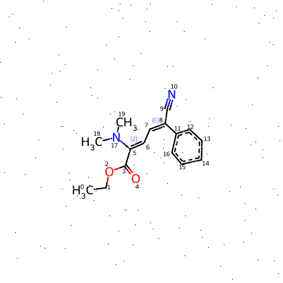 CCOC(=O)/C(=C/C=C(/C#N)c1ccccc1)N(C)C